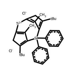 CC1=[C]2CC(C(C)(C)C)=C1[Si](c1ccccc1)(c1ccccc1)C1=C(C(C)(C)C)C[C](=C1C)[Ti+2]2.[Cl-].[Cl-]